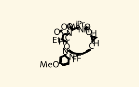 CC[C@@H]1[C@@H]2CN(C(=O)[C@H](C(C)C)NC(=O)O[C@H]3C[C@@H]3CC=CCC(F)(F)c3nc4ccc(OC)cc4nc3O2)[C@@H]1C(=O)OC